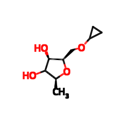 C[C@@H]1O[C@H](COC2CC2)[C@H](O)C1O